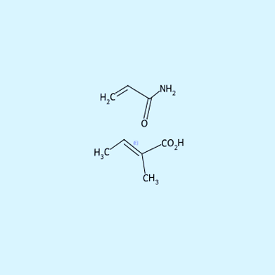 C/C=C(\C)C(=O)O.C=CC(N)=O